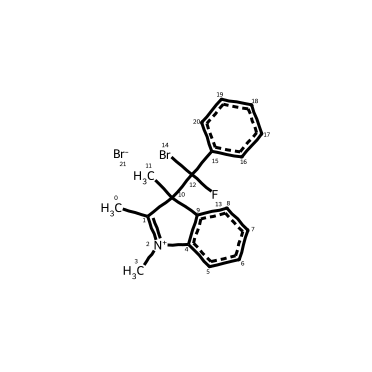 CC1=[N+](C)c2ccccc2C1(C)C(F)(Br)c1ccccc1.[Br-]